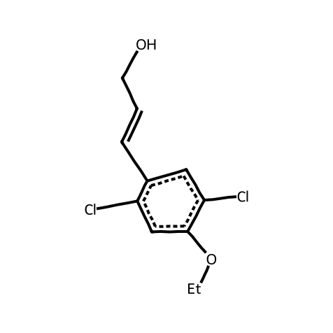 CCOc1cc(Cl)c(C=CCO)cc1Cl